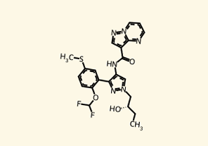 CC[C@H](O)Cn1cc(NC(=O)c2cnn3cccnc23)c(-c2cc(SC)ccc2OC(F)F)n1